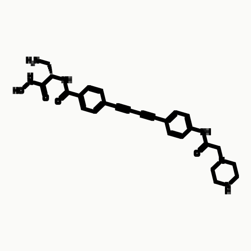 NC[C@H](NC(=O)c1ccc(C#CC#Cc2ccc(NC(=O)CN3CCNCC3)cc2)cc1)C(=O)NO